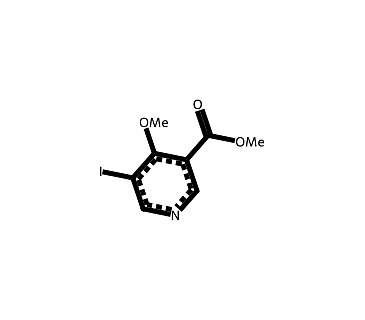 COC(=O)c1cncc(I)c1OC